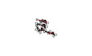 O=C(Nc1cccc(C(=O)Cl)c1)OC(Cl)CCCl.O=C(Nc1cccc(C(=O)Cl)c1)OCC(Cl)Cl.O=C(Nc1cccc(C(=O)Cl)c1)OCCBr.O=C(Nc1cccc(C(=O)Cl)c1)OCCCCl